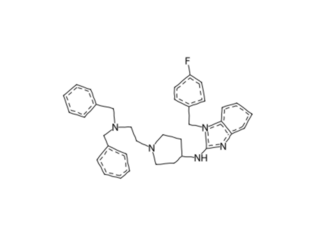 Fc1ccc(Cn2c(NC3CCN(CCN(Cc4ccccc4)Cc4ccccc4)CC3)nc3ccccc32)cc1